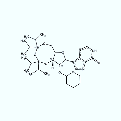 CC(C)[Si]1(C(C)C)OCC2OC(n3cnc4c(=O)[nH]cnc43)[C@H](OC3CCCCO3)[C@@H]2O[Si](C(C)C)(C(C)C)O1